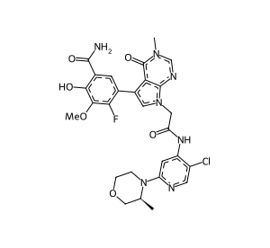 COc1c(O)c(C(N)=O)cc(-c2cn(CC(=O)Nc3cc(N4CCOC[C@@H]4C)ncc3Cl)c3ncn(C)c(=O)c23)c1F